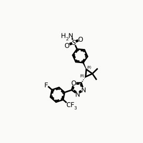 CC1(C)[C@H](c2ccc(S(N)(=O)=O)cc2)[C@H]1c1nnc(-c2cc(F)ccc2C(F)(F)F)o1